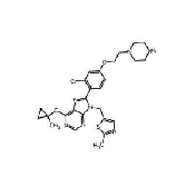 Cc1ncc(Cn2c(-c3ccc(OCCN4CCNCC4)cc3Cl)nc3c(OC4(C)CC4)ncnc32)s1